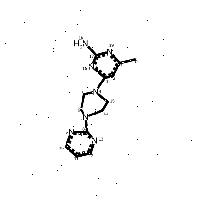 Cc1cc(N2CCN(c3ncccn3)CC2)nc(N)n1